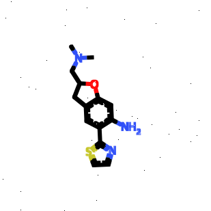 CN(C)CC1Cc2cc(-c3nccs3)c(N)cc2O1